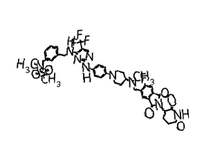 CN(Cc1cc2c(cc1F)C(=O)N(C1CCC(=O)NC1=O)C2=O)C1CCN(c2ccc(Nc3ncc(C(F)(F)F)c(NCc4cccc(N(C)S(C)(=O)=O)c4)n3)cc2)CC1